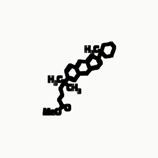 COC(=O)CCCC(C)(C)c1ccc2cc3cc(C4(C)CCCCC4)ccc3cc2c1